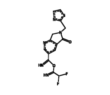 N=C(OC(=N)C(F)F)c1cnc2c(c1)C(=O)N(Cc1nccs1)C2